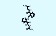 NC(=O)CNC(=O)c1cccnc1SSc1ncccc1C(=O)NCC(N)=O